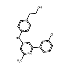 Cc1cc(Nc2ccc(CCO)cc2)cc(-c2cccc(Cl)c2)n1